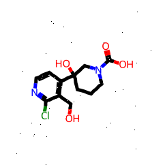 O=C(O)N1CCCC(O)(c2ccnc(Cl)c2CO)C1